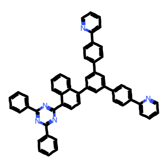 c1ccc(-c2nc(-c3ccccc3)nc(-c3ccc(-c4cc(-c5ccc(-c6ccccn6)cc5)cc(-c5ccc(-c6ccccn6)cc5)c4)c4ccccc34)n2)cc1